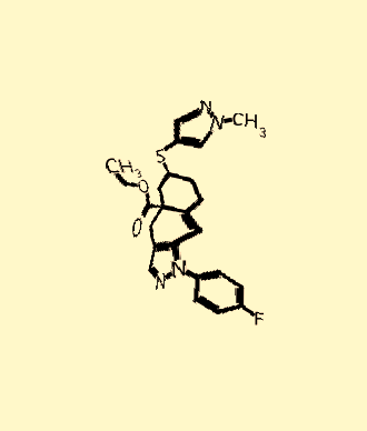 CCOC(=O)[C@]12Cc3cnn(-c4ccc(F)cc4)c3C=C1CC[C@H](Sc1cnn(C)c1)C2